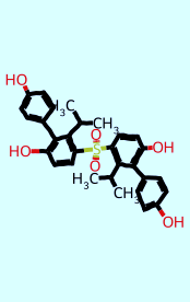 CC(C)c1c(S(=O)(=O)c2ccc(O)c(-c3ccc(O)cc3)c2C(C)C)ccc(O)c1-c1ccc(O)cc1